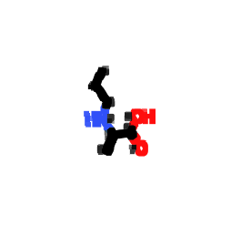 C=C(NCCC)C(=O)O